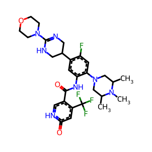 CC1CN(c2cc(F)c(C3CN=C(N4CCOCC4)NC3)cc2NC(=O)c2c[nH]c(=O)cc2C(F)(F)F)CC(C)N1C